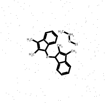 CC1=C(C)[CH]([Zr][CH]2C(C)=C(C)c3ccccc32)c2ccccc21.CCO[SiH2]C